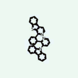 c1ccc(-c2nccc3c2sc2ccccc23)c(-c2ncccc2-n2c3ccccc3c3ccccc32)c1